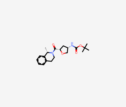 C[C@H]1c2ccccc2CCN1C(=O)[C@@H]1C[C@H](NC(=O)OC(C)(C)C)CO1